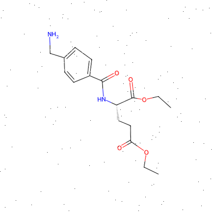 CCOC(=O)CC[C@H](NC(=O)c1ccc(CN)cc1)C(=O)OCC